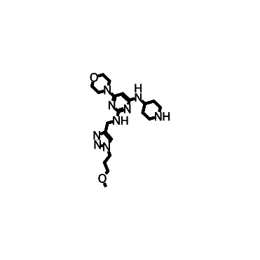 COCCCn1cc(CNc2nc(NC3CCNCC3)cc(N3CCOCC3)n2)nn1